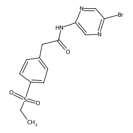 CCS(=O)(=O)c1ccc(CC(=O)Nc2cnc(Br)cn2)cc1